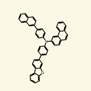 c1ccc2cc(-c3ccc(N(c4ccc(-c5ccc6c(c5)oc5ccccc56)cc4)c4ccc5ccc6ccccc6c5c4)cc3)ccc2c1